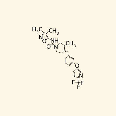 Cc1noc(NC(=O)N2CC/C(=C\c3cccc(Oc4ccc(C(F)(F)F)nc4)c3)C(C)C2)c1C